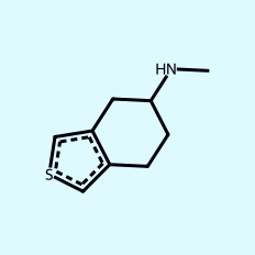 CNC1CCc2cscc2C1